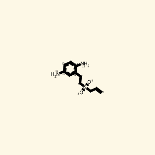 C=CCS(=O)(=O)CCc1cc(N)ccc1N